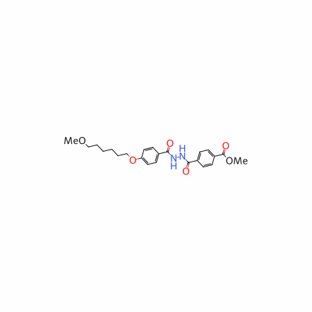 COCCCCCCOc1ccc(C(=O)NNC(=O)c2ccc(C(=O)OC)cc2)cc1